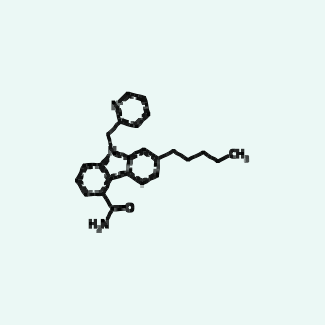 CCCCCc1c[c]c2c3c(C(N)=O)cccc3n(Cc3ccccn3)c2c1